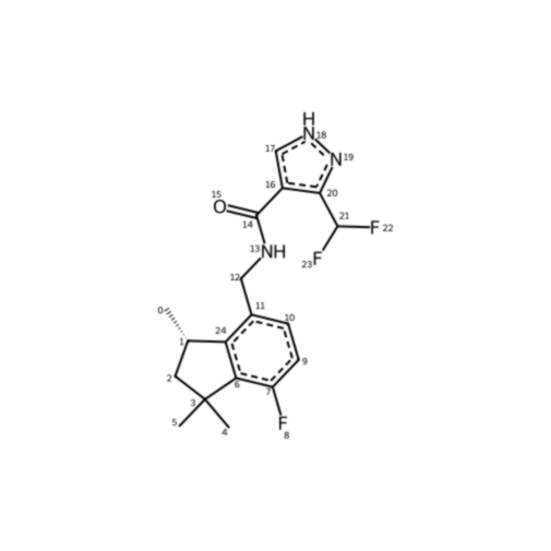 C[C@H]1CC(C)(C)c2c(F)ccc(CNC(=O)c3c[nH]nc3C(F)F)c21